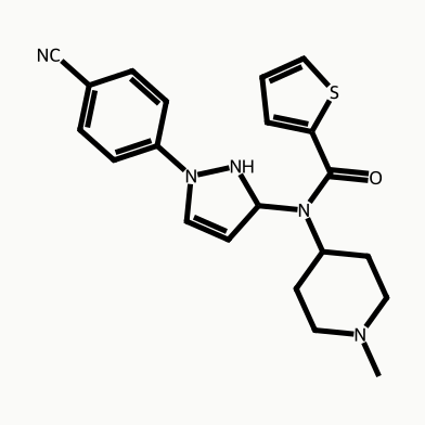 CN1CCC(N(C(=O)c2cccs2)C2C=CN(c3ccc(C#N)cc3)N2)CC1